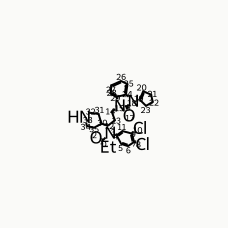 CCC(=O)N(c1ccc(Cl)c(Cl)c1)C(CCn1c(=O)n(C2=CCCC2)c2ccccc21)C1CCNCC1